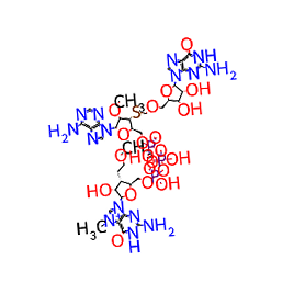 COCC[C@H]1[C@@H](O)[C@H](n2c[n+](C)c3c(=O)[nH]c(N)nc32)O[C@@H]1COP(=O)(O)OP(=O)(O)OP(=O)(O)OC[C@H]1O[C@@H](n2cnc3c(N)ncnc32)[C@H](OC)[C@@H]1SCOC[C@H]1O[C@@H](n2cnc3c(=O)[nH]c(N)nc32)[C@H](O)[C@@H]1O